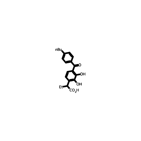 CCCCc1ccc(C(=O)c2ccc(C(CC)C(=O)O)c(O)c2O)cc1